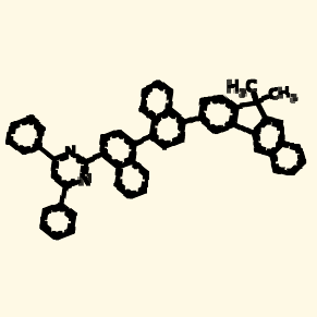 CC1(C)c2ccc(-c3ccc(-c4ccc(-c5nc(-c6ccccc6)cc(-c6ccccc6)n5)c5ccccc45)c4ccccc34)cc2-c2cc3ccccc3cc21